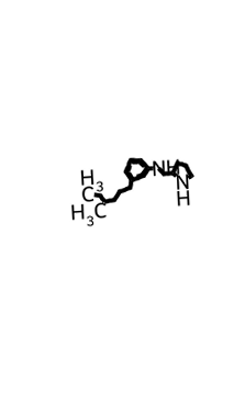 CCC(C)CCCc1cccc(NCC2CCCN2)c1